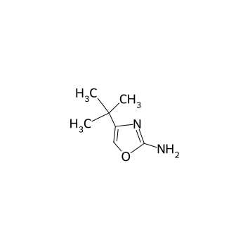 CC(C)(C)c1coc(N)n1